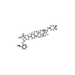 CC1(C)C(C2=CCC(COCc3ncccc3C#N)(C(=O)O)CC2)=CCC2(C)C1CCC1(C)C3CCC4(NCCN5CCS(=O)(=O)CC5)CCC[C@@H]4C3CCC12